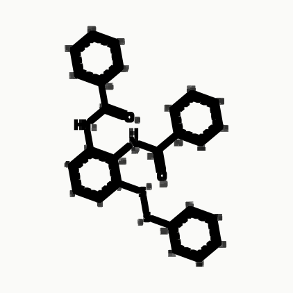 O=C(Nc1cccc(SSc2ccccc2)c1NC(=O)c1ccccc1)c1ccccc1